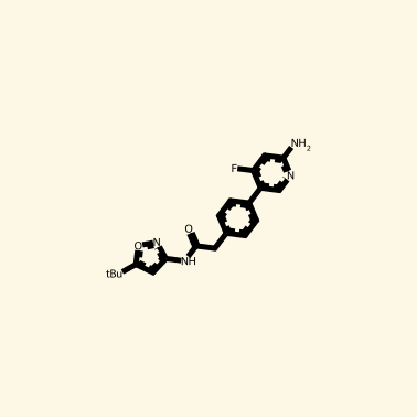 CC(C)(C)c1cc(NC(=O)Cc2ccc(-c3cnc(N)cc3F)cc2)no1